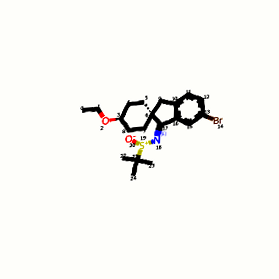 CCO[C@H]1CC[C@]2(CC1)Cc1ccc(Br)cc1/C2=N/[S+]([O-])C(C)(C)C